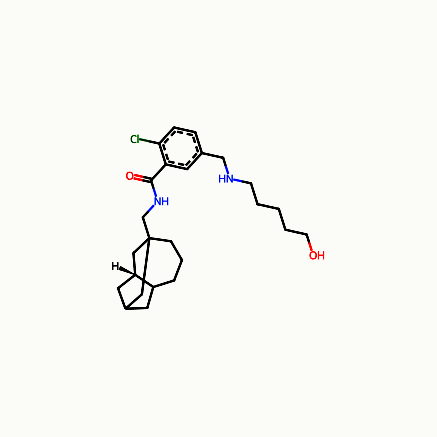 O=C(NCC12CCCC3CC(C[C@@H]3C1)C2)c1cc(CNCCCCCO)ccc1Cl